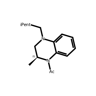 CCCC(C)CN1C[C@H](C)N(C(C)=O)c2ccccc21